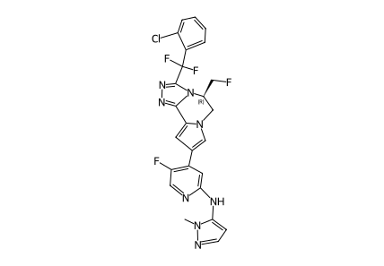 Cn1nccc1Nc1cc(-c2cc3n(c2)C[C@H](CF)n2c-3nnc2C(F)(F)c2ccccc2Cl)c(F)cn1